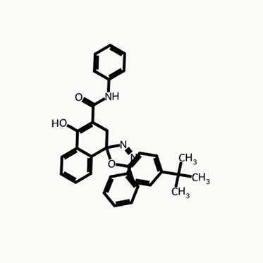 CC(C)(C)c1ccc(OC2(N=Nc3ccccc3)CC(C(=O)Nc3ccccc3)=C(O)c3ccccc32)cc1